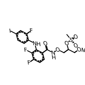 COCC(CONC(=O)c1ccc(F)c(F)c1Nc1ccc(I)cc1F)OS(C)(=O)=O